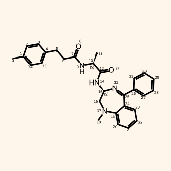 Cc1ccc(CCC(=O)N[C@@H](C)C(=O)N[C@@H]2CN(C)c3ccccc3C(c3ccccc3)=N2)cc1